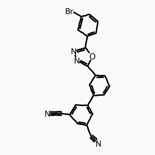 N#Cc1cc(C#N)cc(-c2cccc(-c3nnc(-c4cccc(Br)c4)o3)c2)c1